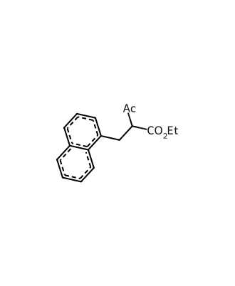 CCOC(=O)C(Cc1cccc2ccccc12)C(C)=O